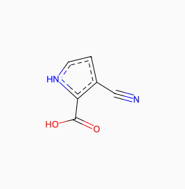 N#Cc1cc[nH]c1C(=O)O